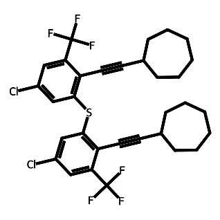 FC(F)(F)c1cc(Cl)cc(Sc2cc(Cl)cc(C(F)(F)F)c2C#CC2CCCCCC2)c1C#CC1CCCCCC1